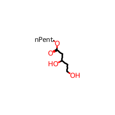 CCCCCOC(=O)CC(O)CCO